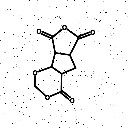 O=C1OCOC2C1CC1C(=O)OC(=O)C12